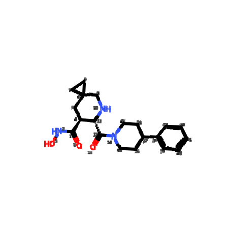 O=C(NO)[C@H]1CC2(CC2)CN[C@@H]1C(=O)N1CCC(c2ccccc2)CC1